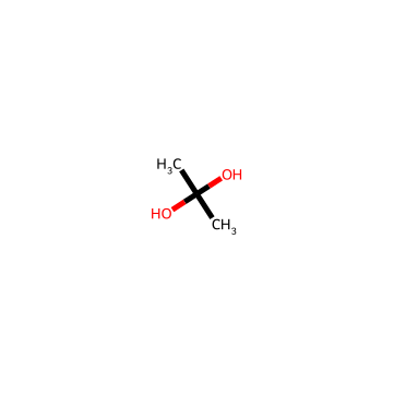 CC(C)(O)O